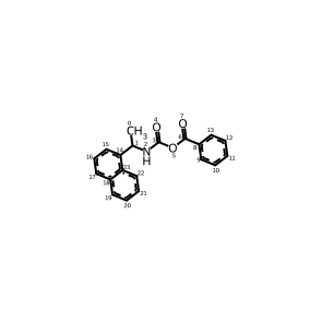 CC(NC(=O)OC(=O)c1ccccc1)c1cccc2ccccc12